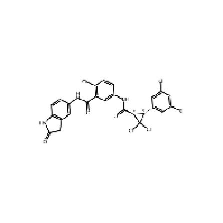 O=C1Cc2cc(NC(=O)c3cc(NC(=O)[C@H]4[C@H](c5cc(Cl)cc(Cl)c5)C4(Cl)Cl)ccc3Cl)ccc2N1